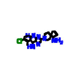 Cc1c(Cl)cccc1C(=N)c1ncc(N2CCC3(CCCC3N)CC2)nc1N